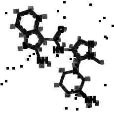 Cn1ncc(NC(=O)c2c(N)sc3cccnc23)c1N1CCC[C@H](N)C1